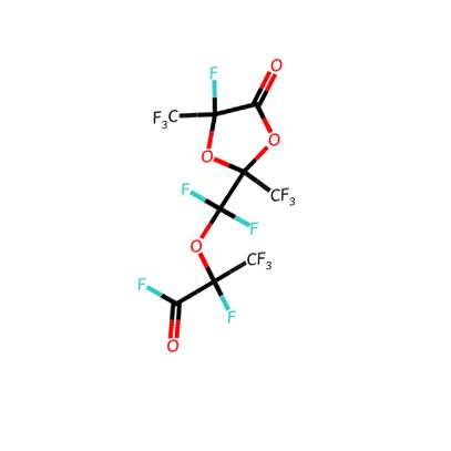 O=C(F)C(F)(OC(F)(F)C1(C(F)(F)F)OC(=O)C(F)(C(F)(F)F)O1)C(F)(F)F